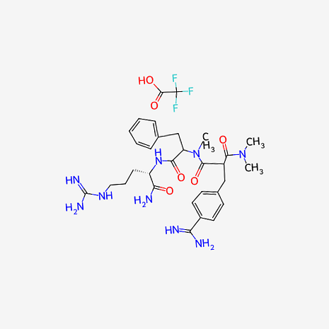 CN(C)C(=O)C(Cc1ccc(C(=N)N)cc1)C(=O)N(C)C(Cc1ccccc1)C(=O)N[C@@H](CCCNC(=N)N)C(N)=O.O=C(O)C(F)(F)F